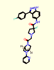 O=C(CN1CCC(F)(C(=O)Nc2ccc3[nH]nc(-c4ccc(F)cc4)c3c2)C1)N1C[C@@H]2C[C@H]1CN2c1ccccn1